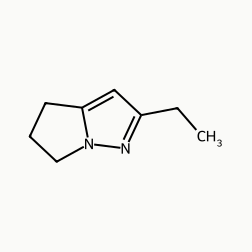 CCc1cc2n(n1)CCC2